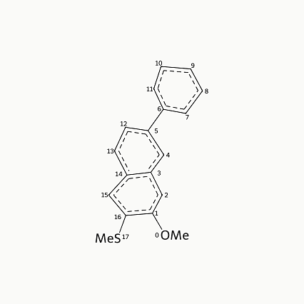 COc1cc2cc(-c3ccccc3)ccc2cc1SC